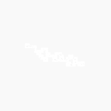 CCCc1ccc(-c2ccc(C3CCC(CCC(C)C)CC3)cc2)cc1